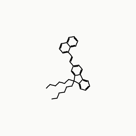 CCCCCCC1(CCCCCC)c2ccccc2-c2ccc(/C=C/c3cccc4ccccc34)cc21